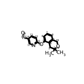 CC1(C)Cc2c(cccc2Oc2ccc(N=O)cn2)CO1